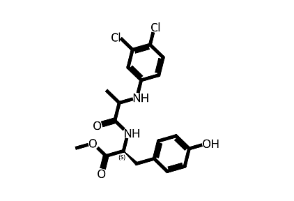 COC(=O)[C@H](Cc1ccc(O)cc1)NC(=O)C(C)Nc1ccc(Cl)c(Cl)c1